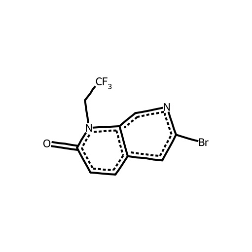 O=c1ccc2cc(Br)ncc2n1CC(F)(F)F